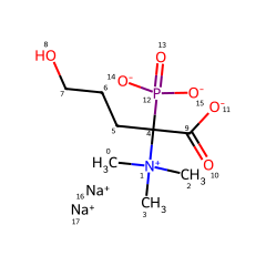 C[N+](C)(C)C(CCCO)(C(=O)[O-])P(=O)([O-])[O-].[Na+].[Na+]